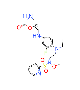 CCN(CCN(OC)S(=O)(=O)c1ccccn1)c1ccc(NC[C@H](CN)OC=O)cc1F